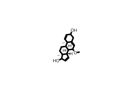 COC1C=C2CC(O)C=C[C@]2(C)[C@@H]2CC[C@]3(C)C(O)C=C[C@H]3[C@H]12